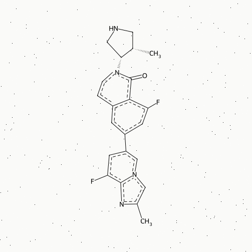 Cc1cn2cc(-c3cc(F)c4c(=O)n([C@@H]5CNC[C@@H]5C)ccc4c3)cc(F)c2n1